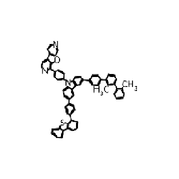 Cc1ccccc1-c1cccc(-c2ccc(-c3ccc4c(c3)c3cc(-c5ccc(-c6cccc7c6sc6ccccc67)cc5)ccc3n4-c3ccc(-c4nccc5c4oc4cnccc45)cc3)cc2)c1C